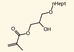 C=C(C)C(=O)OCC(O)COCCCCCCC